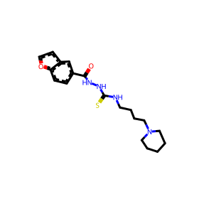 O=C(NNC(=S)NCCCCN1CCCCC1)c1ccc2occc2c1